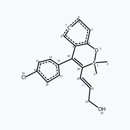 CS1(C)Oc2ccccc2C(c2ccc(Cl)cc2)=C1/C=C/CO